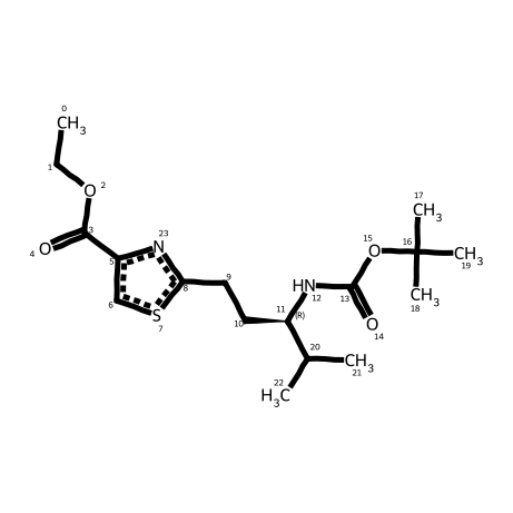 CCOC(=O)c1csc(CC[C@@H](NC(=O)OC(C)(C)C)C(C)C)n1